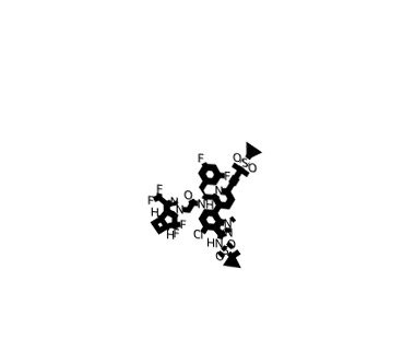 Cn1nc(NS(=O)(=O)C2(C)CC2)c2c(Cl)ccc(-c3ccc(C#CC(C)(C)S(=O)(=O)C4CC4)nc3[C@H](Cc3cc(F)cc(F)c3)NC(=O)Cn3nc(C(F)F)c4c3C(F)(F)[C@@H]3CC[C@H]43)c21